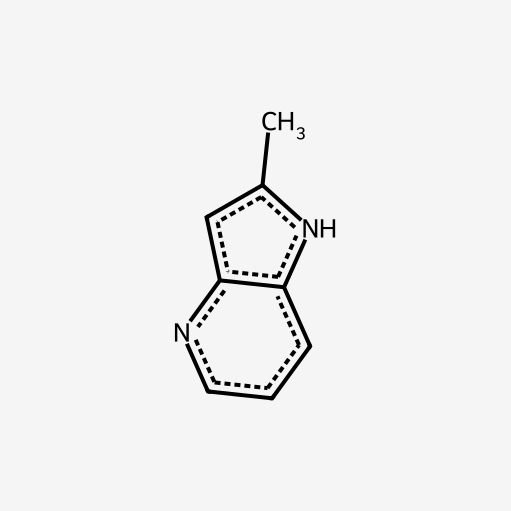 Cc1cc2ncccc2[nH]1